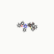 c1ccc(-c2nc(-c3ccc(-c4cccc5c4C4(c6ccccc6Sc6ccccc64)c4ccccc4-5)cc3)nc(-c3cccc4c3oc3ccccc34)n2)cc1